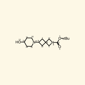 CC(C)(C)OC(=O)N1CC2(CC(N3CCC(O)CC3)C2)C1